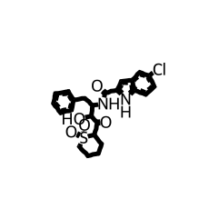 O=C(NC(Cc1ccccc1)C(O)C(=O)C1CCCCS1(=O)=O)c1cc2cc(Cl)ccc2[nH]1